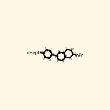 CCCCCCCc1ccc(-c2ccc3c(c2)CCC(CCC)C3)cc1